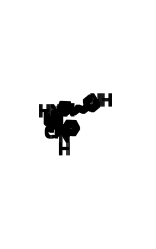 Clc1cnc(N[C@@H]2CCN(CCCC3CCNCC3)C2)nc1-c1c[nH]c2ccccc12